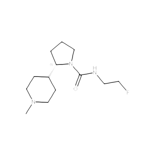 CN1CCC([C@@H]2CCCN2C(=O)NCCF)CC1